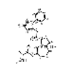 CN[C@@H](C)C(=O)NC1CCC[C@@H]2SC[C@@H](C(=O)Nc3cc(C)nn3-c3ccccc3)N2C1